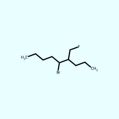 CCCCC(Br)C(CF)CCC